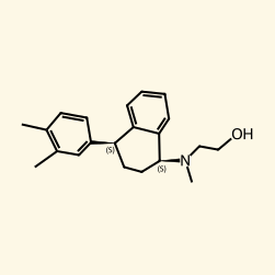 Cc1ccc([C@@H]2CC[C@H](N(C)CCO)c3ccccc32)cc1C